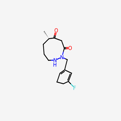 C[C@H]1CCCNN(CC2=CCCC(F)=C2)C(=O)CC1=O